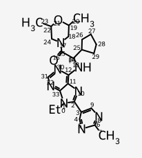 CCn1c(-c2cnc(C)nc2)nc2c(N[C@@H](C(=O)N3CC(C)OC(C)C3)C3CCCC3)ncnc21